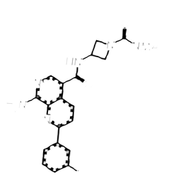 CNC(=O)N1CC(NC(=O)c2cnc(N)c3nc(-c4cccc(F)c4)ccc23)C1